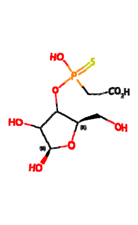 O=C(O)CP(O)(=S)OC1C(O)[C@H](O)O[C@@H]1CO